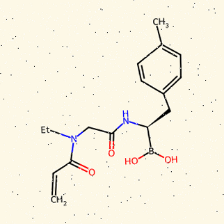 C=CC(=O)N(CC)CC(=O)N[C@@H](Cc1ccc(C)cc1)B(O)O